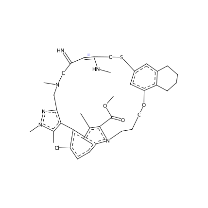 CN/C1=C\C(=N)CN(C)Cc2nn(C)c(C)c2-c2c(Cl)ccc3c2c(C)c(C(=O)OC)n3CCCOc2cc(cc3c2CCCC3)SC1